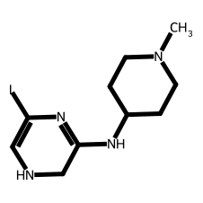 CN1CCC(NC2=NC(I)=CNC2)CC1